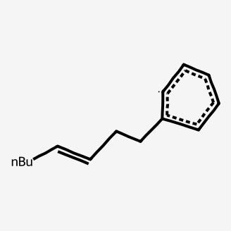 CCCCC=CCCc1[c]cccc1